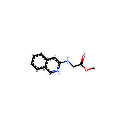 COC(=O)CNc1cc2ccccc2[c]n1